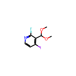 COC(OC)c1c(I)ccnc1F